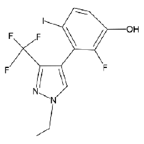 CCn1cc(-c2c(I)ccc(O)c2F)c(C(F)(F)F)n1